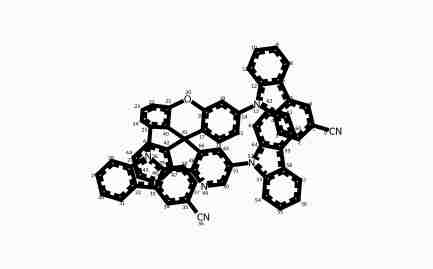 N#Cc1ccc2c(c1)c1ccccc1n2-c1ccc2c(c1)Oc1cccc(-n3c4ccccc4c4cc(C#N)ccc43)c1C21c2cccnc2-c2ncc(-n3c4ccccc4c4ccccc43)cc21